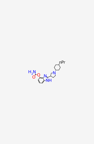 CCC[C@H]1CC[C@H](N2CCC(c3nc4c(OC(N)=O)cccc4[nH]3)C2)CC1